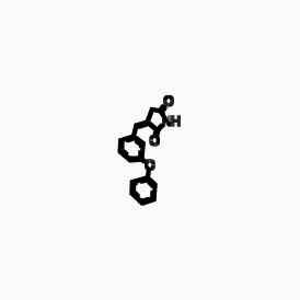 O=C1CC(=Cc2cccc(Oc3ccccc3)c2)C(=O)N1